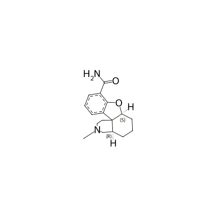 CN1CCC23c4cccc(C(N)=O)c4O[C@H]2CCC[C@H]3C1